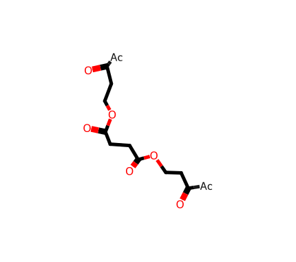 CC(=O)C(=O)CCOC(=O)CCC(=O)OCCC(=O)C(C)=O